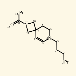 CC(C)CCCN1C=CC2(CC1)CN(C(=O)C(C)C)C2